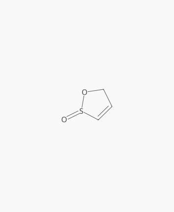 O=S1C=CCO1